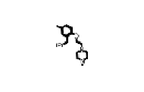 Cc1ccc(OCCN2CCN(C)CC2)c(CC(C)C)c1